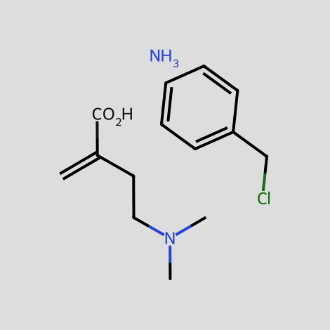 C=C(CCN(C)C)C(=O)O.ClCc1ccccc1.N